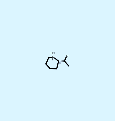 CC(Cl)[C@H]1CCCCN1.Cl